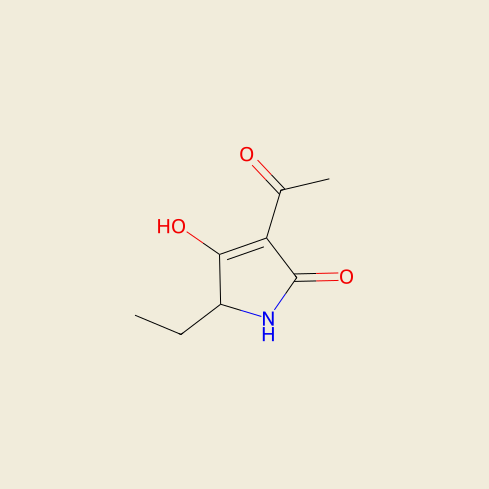 CCC1NC(=O)C(C(C)=O)=C1O